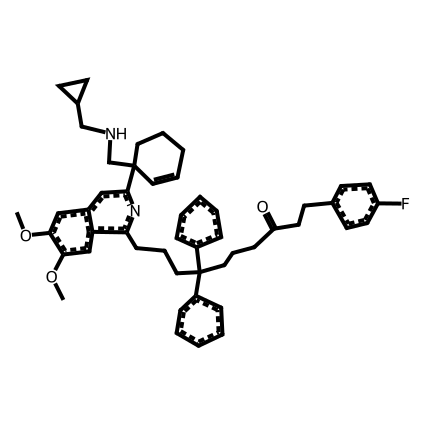 COc1cc2cc(C3(CNCC4CC4)C=CCCC3)nc(CCCC(CCCC(=O)CCc3ccc(F)cc3)(c3ccccc3)c3ccccc3)c2cc1OC